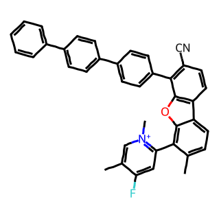 Cc1c[n+](C)c(-c2c(C)ccc3c2oc2c(-c4ccc(-c5ccc(-c6ccccc6)cc5)cc4)c(C#N)ccc23)cc1F